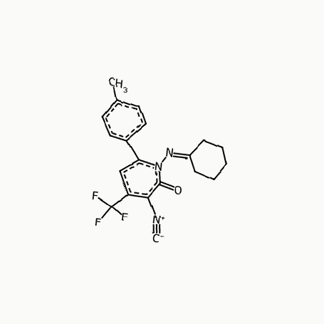 [C-]#[N+]c1c(C(F)(F)F)cc(-c2ccc(C)cc2)n(N=C2CCCCC2)c1=O